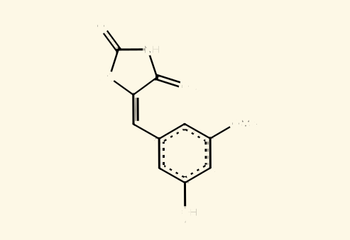 COc1cc(O)cc(C=C2SC(=O)NC2=O)c1